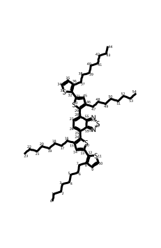 CCCCCCCCc1ccsc1-c1cc(CCCCCCCC)c(-c2ccc(-c3sc(-c4sccc4CCCCCCCC)cc3CCCCCCCC)c3nsnc23)s1